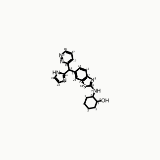 OC1CCCCC1Nc1nc2ccc(C(c3cccnn3)c3ncc[nH]3)cc2s1